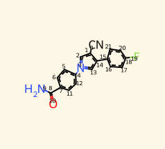 N#Cc1cn(-c2ccc(C(N)=O)cc2)cc1-c1ccc(F)cc1